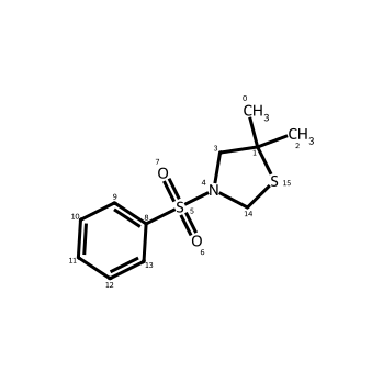 CC1(C)CN(S(=O)(=O)c2ccccc2)CS1